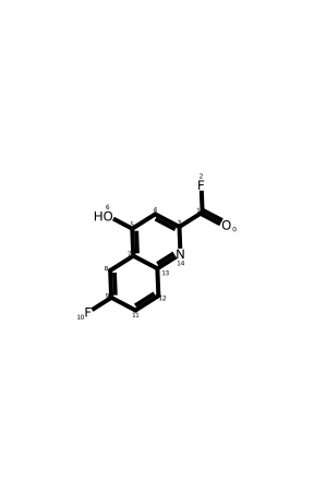 O=C(F)c1cc(O)c2cc(F)ccc2n1